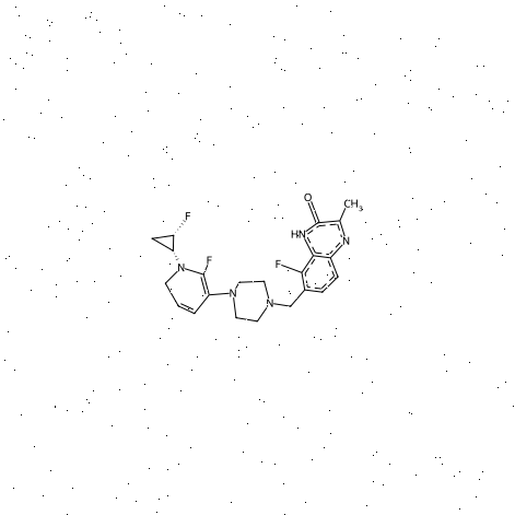 Cc1nc2ccc(CN3CCN(C4=C(F)N([C@@H]5C[C@@H]5F)CC=C4)CC3)c(F)c2[nH]c1=O